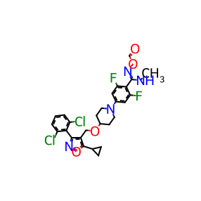 CN/C(=N\OC=O)c1c(F)cc(N2CCC(OCc3c(-c4c(Cl)cccc4Cl)noc3C3CC3)CC2)cc1F